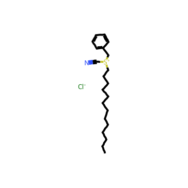 CCCCCCCCCCCCC[S+](C#N)Cc1ccccc1.[Cl-]